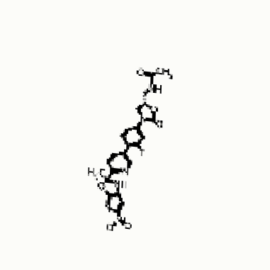 CC(=O)NC[C@H]1CN(c2ccc(-c3ccc(C4(C)NC5C=C([N+](=O)[O-])N=C5O4)nc3)c(F)c2)C(=O)O1